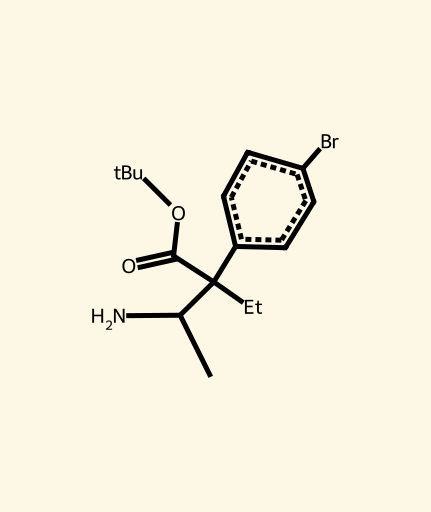 CCC(C(=O)OC(C)(C)C)(c1ccc(Br)cc1)C(C)N